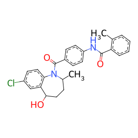 Cc1ccccc1C(=O)Nc1ccc(C(=O)N2c3ccc(Cl)cc3C(O)CCC2C)cc1